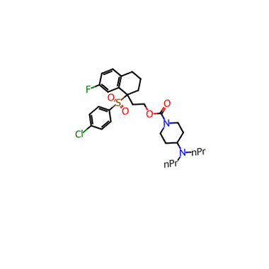 CCCN(CCC)C1CCN(C(=O)OCCC2(S(=O)(=O)c3ccc(Cl)cc3)CCCc3ccc(F)cc32)CC1